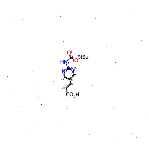 CC(C)(C)OC(=O)Nc1ncc(C=CC(=O)O)cn1